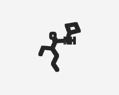 CCCC(CC)C(=O)NC1CCC1